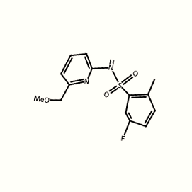 COCc1cccc(NS(=O)(=O)c2cc(F)ccc2C)n1